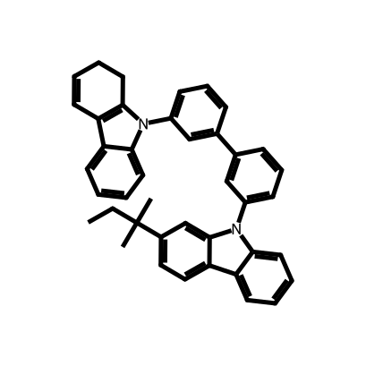 CCC(C)(C)c1ccc2c3ccccc3n(-c3cccc(-c4cccc(-n5c6c(c7ccccc75)C=CCC6)c4)c3)c2c1